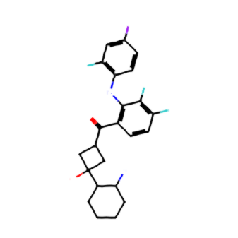 NC1CCCCC1C1(O)CC(C(=O)c2ccc(F)c(F)c2Nc2ccc(I)cc2F)C1